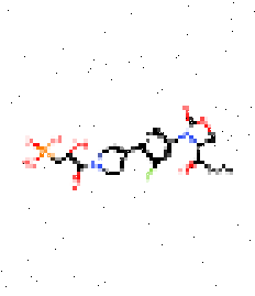 CNC(=O)[C@@H]1COC(=O)N1c1ccc(C2=CCN(C(=O)[C@H](O)CP(=O)(O)O)CC2)c(F)c1